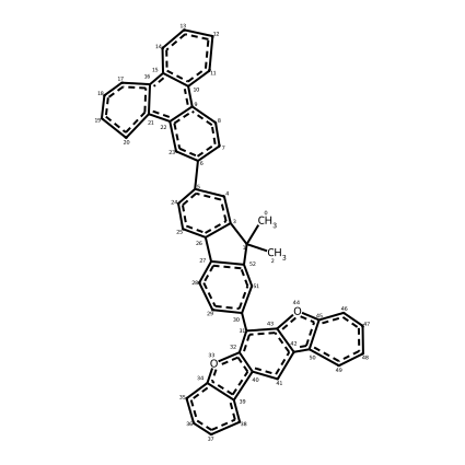 CC1(C)c2cc(-c3ccc4c5ccccc5c5ccccc5c4c3)ccc2-c2ccc(-c3c4oc5ccccc5c4cc4c3oc3ccccc34)cc21